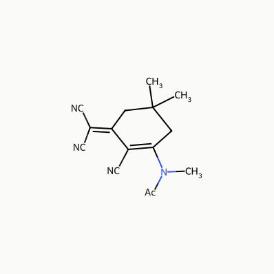 CC(=O)N(C)C1=C(C#N)C(=C(C#N)C#N)CC(C)(C)C1